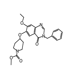 CCOc1cc2ncn(Cc3ccccc3)c(=O)c2cc1OC1CCN(C(=O)OC)CC1